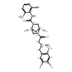 Cc1cccc(C(C)C)c1NC(=O)N1C[C@@H]2C[C@H]1CN2C(=O)C[C@H](N)Cc1cc(F)c(F)cc1F